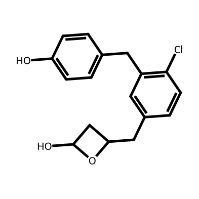 Oc1ccc(Cc2cc(CC3CC(O)O3)ccc2Cl)cc1